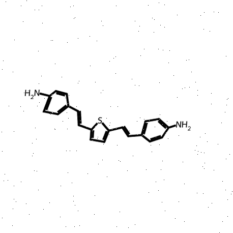 Nc1ccc(C=Cc2ccc(C=Cc3ccc(N)cc3)s2)cc1